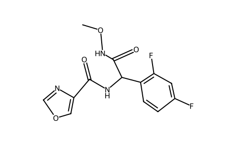 CONC(=O)C(NC(=O)c1cocn1)c1ccc(F)cc1F